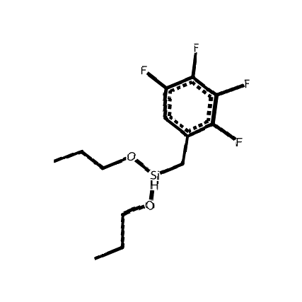 CCCO[SiH](Cc1cc(F)c(F)c(F)c1F)OCCC